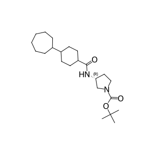 CC(C)(C)OC(=O)N1CC[C@@H](NC(=O)C2CCC(C3CCCCCC3)CC2)C1